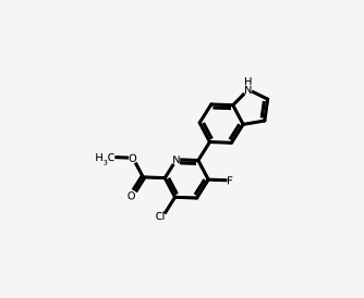 COC(=O)c1nc(-c2ccc3[nH]ccc3c2)c(F)cc1Cl